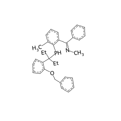 CCC(CC)(Pc1c(C)cccc1/C(=N/C)c1ccccc1)c1ccccc1OCc1ccccc1